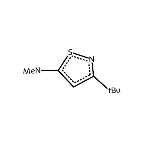 CNc1cc(C(C)(C)C)ns1